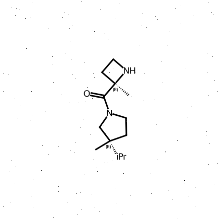 CC(C)[C@@]1(C)CCN(C(=O)[C@@]2(C)CCN2)C1